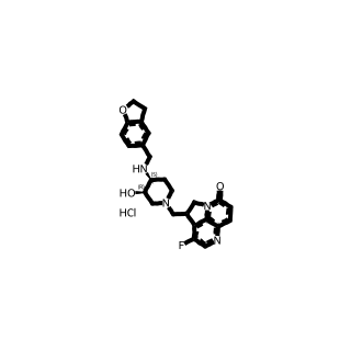 Cl.O=c1ccc2ncc(F)c3c2n1CC3CN1CC[C@H](NCc2ccc3c(c2)CCO3)[C@H](O)C1